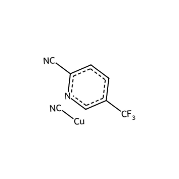 N#Cc1ccc(C(F)(F)F)cn1.N#[C][Cu]